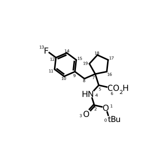 CC(C)(C)OC(=O)NC(C(=O)O)C1(Cc2ccc(F)cc2)CCCC1